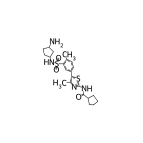 Cc1ccc(-c2sc(NC(=O)C3CCCC3)nc2C)cc1S(=O)(=O)NC1CCC(N)C1